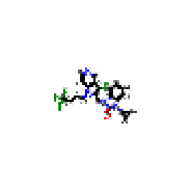 O=c1n(Cc2c(F)c3cnccc3n2CCCC(F)(F)F)c2ccccc2n1C1CC1